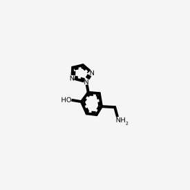 NCc1ccc(O)c(-n2nccn2)c1